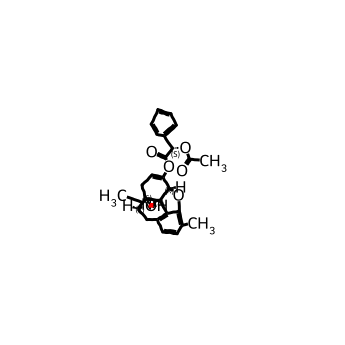 CC(=O)O[C@H](C(=O)OC1=CC[C@@]2(O)[C@H]3Cc4ccc(C)c5c4[C@@]2(CCN3C)[C@H]1O5)c1ccccc1